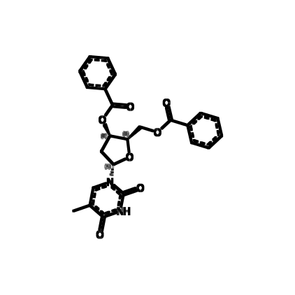 Cc1cn([C@@H]2C[C@@H](OC(=O)c3ccccc3)[C@@H](COC(=O)c3ccccc3)O2)c(=O)[nH]c1=O